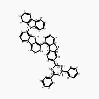 C1=Cc2c(n(-c3cccc4c5c(sc34)=C(c3cccc4oc6cc(C7N=C(c8ccccc8)NC(c8ccccc8)N7)ccc6c34)CCC=5)c3ccccc23)CC1